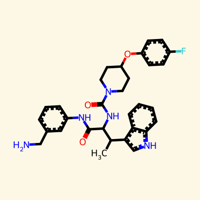 CC(c1c[nH]c2ccccc12)C(NC(=O)N1CCC(Oc2ccc(F)cc2)CC1)C(=O)Nc1cccc(CN)c1